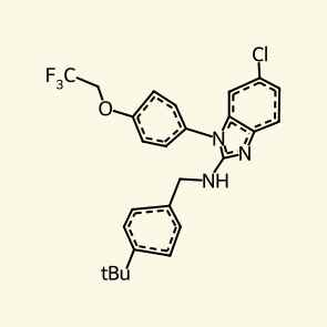 CC(C)(C)c1ccc(CNc2nc3ccc(Cl)cc3n2-c2ccc(OCC(F)(F)F)cc2)cc1